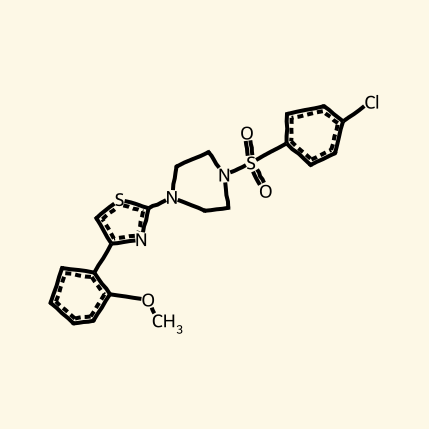 COc1ccccc1-c1csc(N2CCN(S(=O)(=O)c3ccc(Cl)cc3)CC2)n1